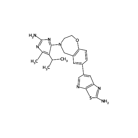 Cc1nc(N)nc(N2CCOc3ccc(-c4cnc5sc(N)nc5c4)cc3C2)c1C(C)C